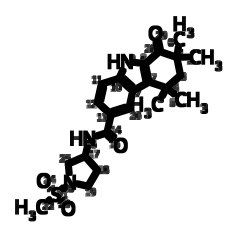 CC1(C)CC(C)(C)c2c([nH]c3ccc(C(=O)NC4CCN(S(C)(=O)=O)C4)cc23)C1=O